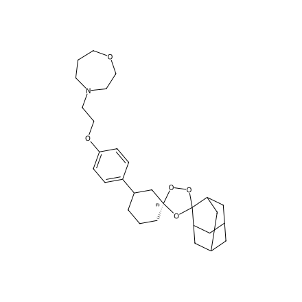 c1cc(C2CCC[C@]3(C2)OOC2(O3)C3CC4CC(C3)CC2C4)ccc1OCCN1CCCOCC1